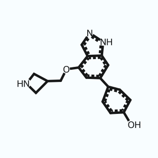 Oc1ccc(-c2cc(OCC3CNC3)c3cn[nH]c3c2)cc1